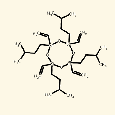 C=C[Si]1(CCC(C)C)O[Si](C=C)(CCC(C)C)O[Si](C=C)(CCC(C)C)O[Si](C=C)(CCC(C)C)O1